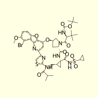 C=C[C@@H]1C[C@]1(NC(=O)[C@@H]1C[C@@H](Oc2cc(-c3csc(NC(=O)C(C)C)n3)nc3c2oc2ccc(OC)c(Br)c23)CN1C(=O)[C@@H](NC(=O)OC(C)(C)C)C(C)(C)C)C(=O)NS(=O)(=O)C1CC1